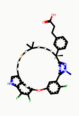 Cn1nc2nc1-c1cc(ccc1F)Oc1cc3c(c[nH]c3c(F)c1F)CCSCC(C)(C)CCC[C@]2(C)c1cccc(CCC(=O)O)c1